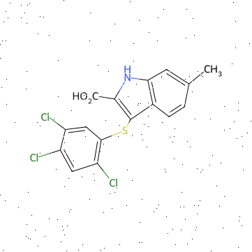 Cc1ccc2c(Sc3cc(Cl)c(Cl)cc3Cl)c(C(=O)O)[nH]c2c1